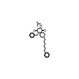 CC(C)C[C@@H]1NC(=O)C2(CCN(CCCCCCc3ccccc3)CC2)N(Cc2ccccc2)C1=O